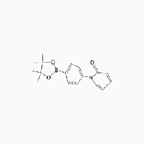 CC1(C)OB(c2ccc(-n3ccccc3=O)cc2)OC1(C)C